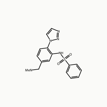 CNCc1ccc(-n2ccnn2)c(NS(=O)(=O)c2ccccc2)c1